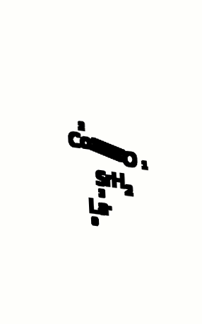 [La].[O]=[Co].[SrH2]